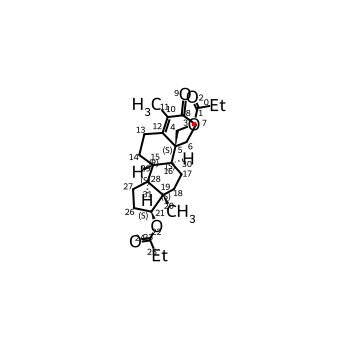 CCC(=O)OC[C@]12CCC(=O)C(C)=C1CC[C@@H]1[C@@H]2CC[C@]2(C)[C@@H](OC(=O)CC)CC[C@@H]12